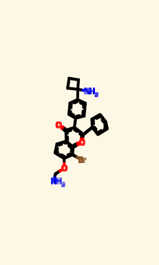 NCOc1ccc2c(=O)c(-c3ccc(C4(N)CCC4)cc3)c(-c3ccccc3)oc2c1Br